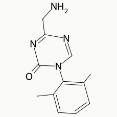 Cc1cccc(C)c1-n1cnc(CN)nc1=O